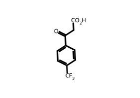 O=C(O)CC(=O)c1ccc(C(F)(F)F)cc1